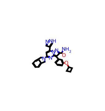 NC(=O)c1nn2c(-c3cn[nH]c3)cc(N3Cc4ccccc4C3)nc2c1-c1cccc(OC2CCC2)c1